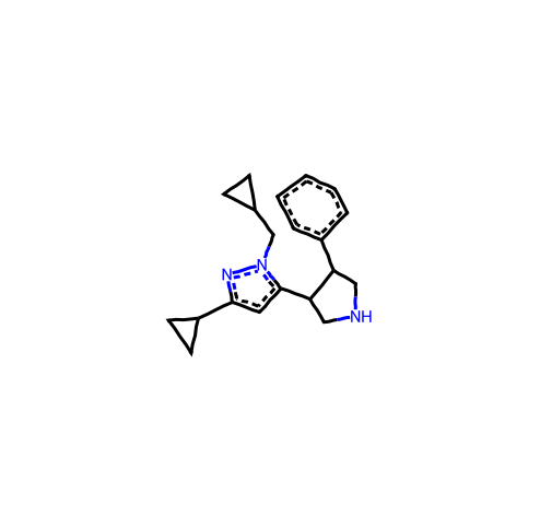 c1ccc(C2CNCC2c2cc(C3CC3)nn2CC2CC2)cc1